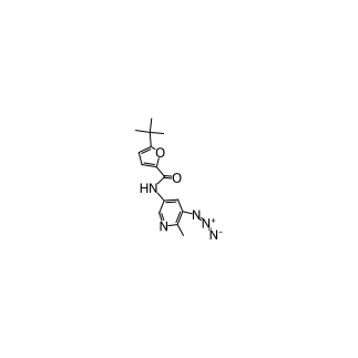 Cc1ncc(NC(=O)c2ccc(C(C)(C)C)o2)cc1N=[N+]=[N-]